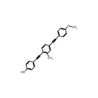 COc1ccc(C#Cc2ccc(C#Cc3ccc(O)cc3)c(C)c2)cc1